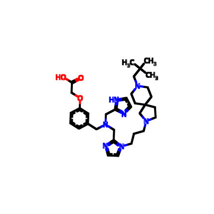 CC(C)(C)CN1CCC2(CC1)CCN(CCCn1ccnc1CN(Cc1cccc(OCC(=O)O)c1)Cc1ncc[nH]1)C2